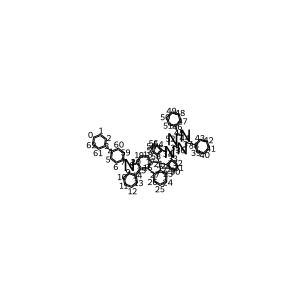 c1ccc(-c2ccc(-n3c4ccccc4c4c5c(ccc43)C3(c4ccccc4-5)c4ccccc4N(c4nc(-c5ccccc5)nc(-c5ccccc5)n4)c4ccccc43)cc2)cc1